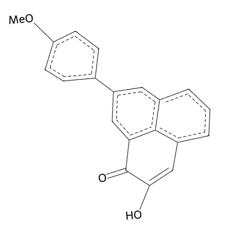 COc1ccc(-c2cc3c4c(cccc4c2)C=C(O)C3=O)cc1